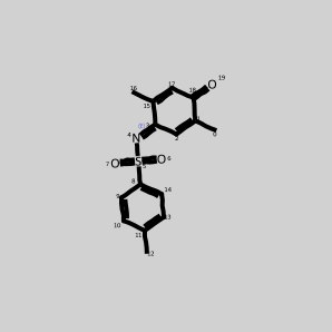 CC1=C/C(=N\S(=O)(=O)c2ccc(C)cc2)C(C)=CC1=O